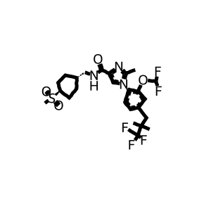 Cc1nc(C(=O)NC[C@H]2CC[C@H](S(C)(=O)=O)CC2)cn1-c1ccc(CC(C)(C)C(F)(F)F)cc1OC(F)F